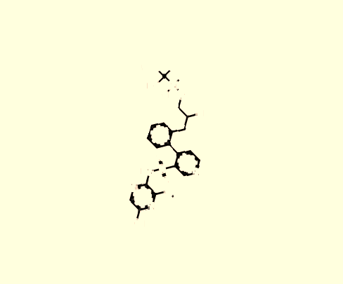 COc1nc(C)cnc1NS(=O)(=O)c1cnccc1-c1ccccc1CC(C)CO[Si](C)(C)C(C)(C)C